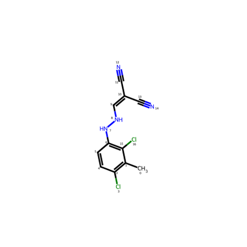 Cc1c(Cl)ccc(NNC=C(C#N)C#N)c1Cl